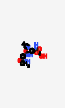 C[S@@](=N)(=O)c1cccc(NC(=O)c2ccc(NS(=O)(=O)CCO)cc2N2CCC3(CC2)CC3)c1